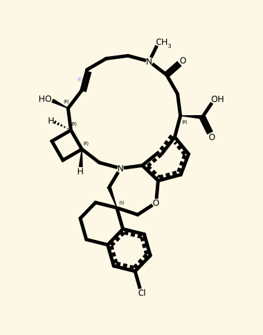 CN1CC/C=C/[C@H](O)[C@@H]2CC[C@H]2CN2C[C@@]3(CCCc4cc(Cl)ccc43)COc3ccc(cc32)[C@H](C(=O)O)CC1=O